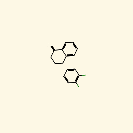 C=C1CC[C@@H](c2ccc(Cl)c(Cl)c2)c2ccccc21